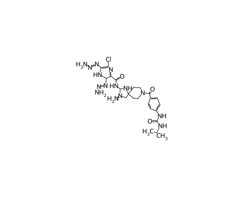 CC(C)NC(=O)Nc1ccc(C(=O)N2CCC3(CC2)CN(N)C(NC(=O)C2=NC(Cl)=C(N=NN)NC2N=NN)N3)cc1